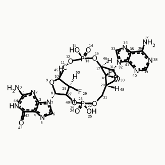 Nc1nc2c(ncn2[C@@H]2O[C@@H]3COP(=O)(O)O[C@@H]4[C@H](F)[C@@H](COP(=O)(O)O[C@@H]2[C@@H]3F)O[C@H]4n2cnc3c(N)ncnc32)c(=O)[nH]1